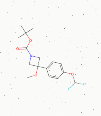 COC1(c2ccc(OC(F)F)cc2)CN(C(=O)OC(C)(C)C)C1